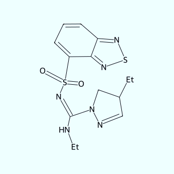 CCNC(=NS(=O)(=O)c1cccc2nsnc12)N1CC(CC)C=N1